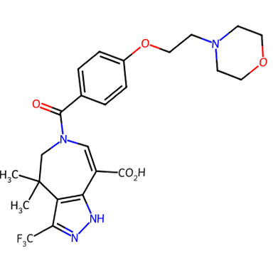 CC1(C)CN(C(=O)c2ccc(OCCN3CCOCC3)cc2)C=C(C(=O)O)c2[nH]nc(C(F)(F)F)c21